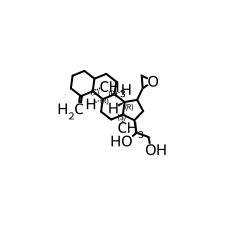 C=C1CCCC2CC[C@@H]3[C@@H](CC[C@]4(C)C(C(O)CO)CC(C5CO5)[C@@H]34)[C@@]12C